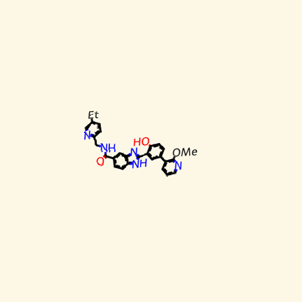 CCc1ccc(CNC(=O)c2ccc3[nH]c(-c4cc(-c5cccnc5OC)ccc4O)nc3c2)nc1